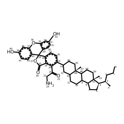 CCC[C@@H](C)[C@H]1CCC2C3CCC4CC(c5ccc6c(c5C(=O)CN)C(=O)OC65c6ccc(O)cc6Oc6cc(O)ccc65)CC[C@]4(C)C3CC[C@@]21C